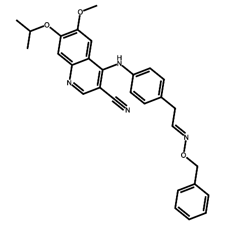 COc1cc2c(Nc3ccc(CC=NOCc4ccccc4)cc3)c(C#N)cnc2cc1OC(C)C